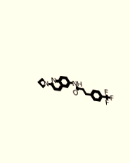 O=C(CCc1ccc(C(F)(F)F)cc1)Nc1ccc2nc(N3CCC3)ccc2c1